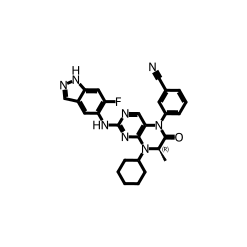 C[C@@H]1C(=O)N(c2cccc(C#N)c2)c2cnc(Nc3cc4cn[nH]c4cc3F)nc2N1C1CCCCC1